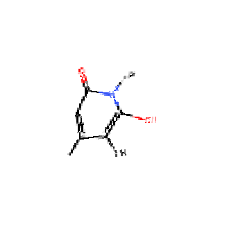 CCCn1c(O)c(C#N)c(C)cc1=O